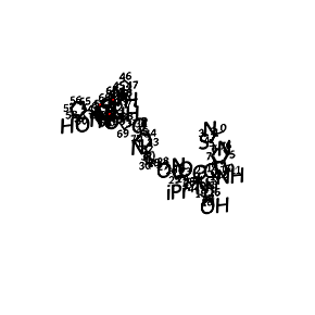 Cc1ncsc1-c1ccc([C@H](C)NC(=O)[C@@H]2C[C@@H](O)CN2C(=O)[C@@H](c2cc(OC[C@@H]3C[C@H]3c3ccc(OC4CC(Oc5cc(N6C7CC[C@@H]6CN(c6cc(-c8ccccc8O)nnc6N)C7)ccn5)C4)cn3)no2)C(C)C)cn1